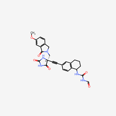 COc1ccc2c(c1)C(=O)N(C[C@@]1(C#Cc3ccc4c(c3)CCCC4NC(=O)NC=O)NC(=O)NC1=O)C2